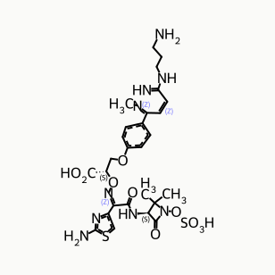 C/N=C(/C=C\C(=N)NCCCN)c1ccc(OC[C@H](O/N=C(\C(=O)N[C@@H]2C(=O)N(OS(=O)(=O)O)C2(C)C)c2csc(N)n2)C(=O)O)cc1